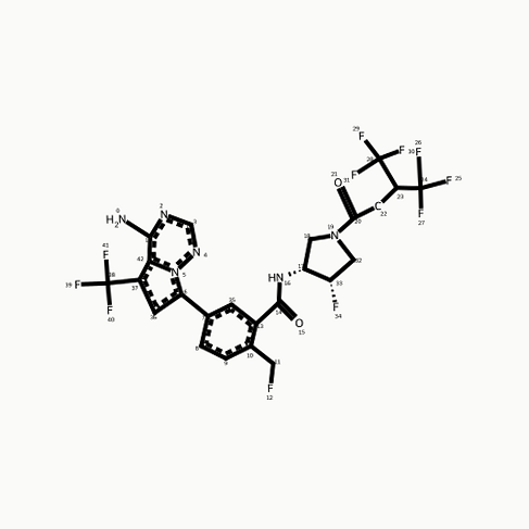 Nc1ncnn2c(-c3ccc(CF)c(C(=O)N[C@@H]4CN(C(=O)CC(C(F)(F)F)C(F)(F)F)C[C@@H]4F)c3)cc(C(F)(F)F)c12